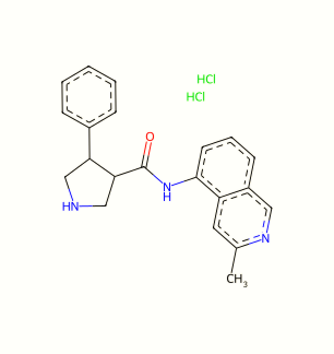 Cc1cc2c(NC(=O)C3CNCC3c3ccccc3)cccc2cn1.Cl.Cl